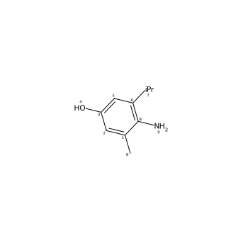 Cc1cc(O)cc(C(C)C)c1N